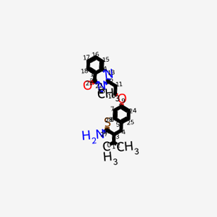 CC(C)C(Cc1ccc(OCCc2nc3ccccc3c(=O)n2C)cc1)C(N)=S